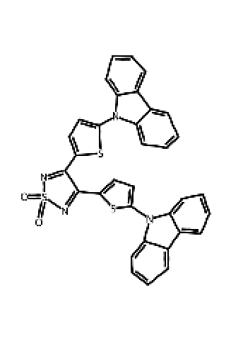 O=S1(=O)N=C(c2ccc(-n3c4ccccc4c4ccccc43)s2)C(c2ccc(-n3c4ccccc4c4ccccc43)s2)=N1